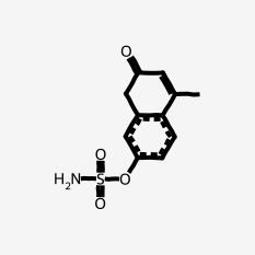 CC1=CC(=O)Cc2cc(OS(N)(=O)=O)ccc21